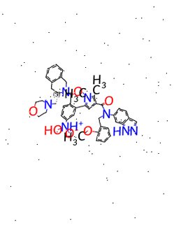 COc1ccccc1CN(C(=O)c1cc(-c2cc([NH+]([O-])O)ccc2C(=O)N2Cc3ccccc3C[C@H]2CN2CCOCC2)n(C)c1C)c1ccc2cn[nH]c2c1